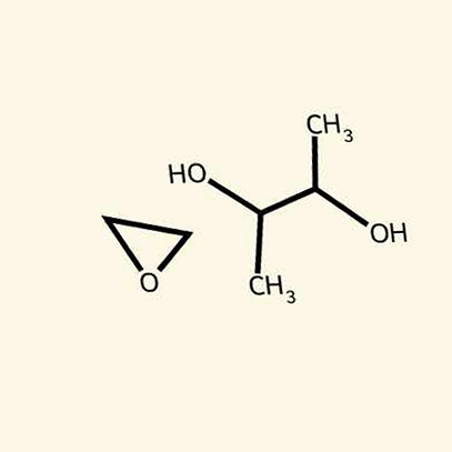 C1CO1.CC(O)C(C)O